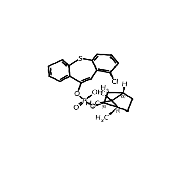 CC1(C)[C@H]2CC[C@]1(C)[C@@H](OP(=O)(O)OC1=Cc3c(Cl)cccc3Sc3ccccc31)C2